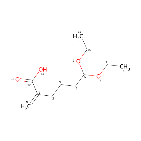 C=C(CCCC(OCC)OCC)C(=O)O